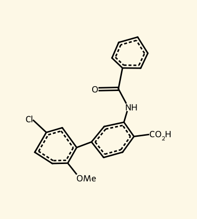 COc1ccc(Cl)cc1-c1ccc(C(=O)O)c(NC(=O)c2ccccc2)c1